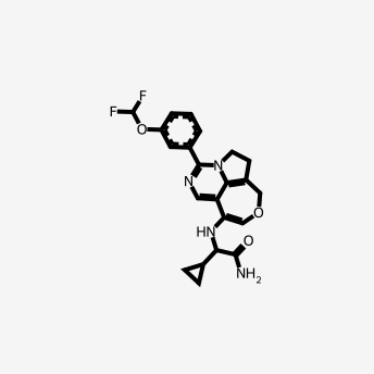 NC(=O)C(NC1=COCC2=C3C1=CN=C(c1cccc(OC(F)F)c1)N3CC2)C1CC1